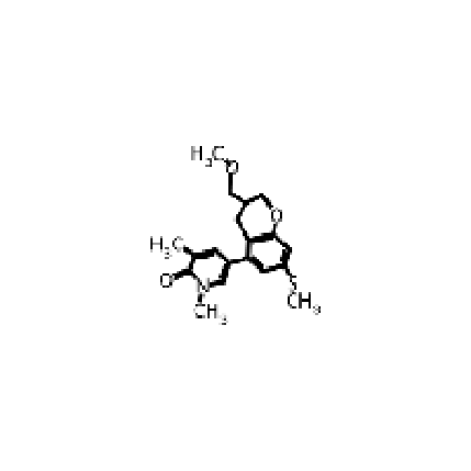 COCC1COc2cc(SC)cc(-c3cc(C)c(=O)n(C)c3)c2C1